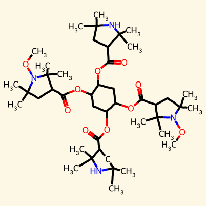 CON1C(C)(C)CC(C(=O)OC2CC(OC(=O)C3CC(C)(C)NC3(C)C)C(OC(=O)C3CC(C)(C)N(OC)C3(C)C)CC2OC(=O)C2CC(C)(C)NC2(C)C)C1(C)C